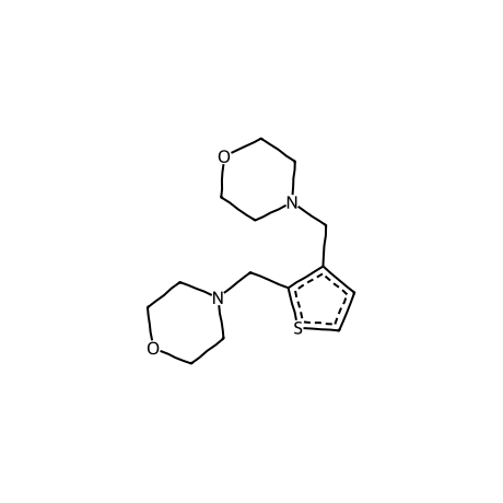 c1cc(CN2CCOCC2)c(CN2CCOCC2)s1